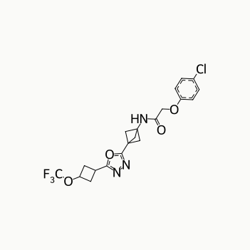 O=C(COc1ccc(Cl)cc1)NC12CC(c3nnc(C4CC(OC(F)(F)F)C4)o3)(C1)C2